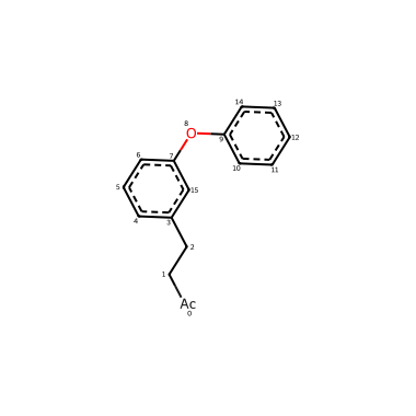 CC(=O)CCc1cccc(Oc2ccccc2)c1